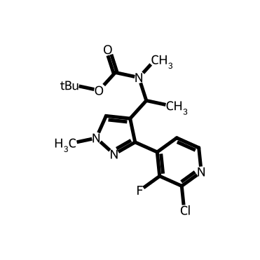 CC(c1cn(C)nc1-c1ccnc(Cl)c1F)N(C)C(=O)OC(C)(C)C